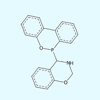 c1ccc2c(c1)OP(C1NCOc3ccccc31)c1ccccc1-2